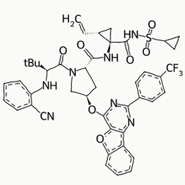 C=C[C@@H]1C[C@]1(NC(=O)[C@@H]1C[C@@H](Oc2nc(-c3ccc(C(F)(F)F)cc3)nc3c2oc2ccccc23)CN1C(=O)[C@@H](Nc1ccccc1C#N)C(C)(C)C)C(=O)NS(=O)(=O)C1CC1